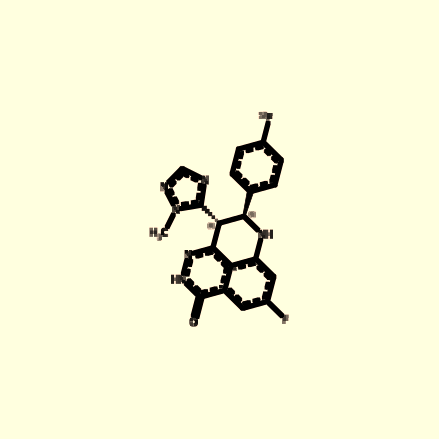 Cn1ncnc1[C@H]1c2n[nH]c(=O)c3cc(F)cc(c23)N[C@@H]1c1ccc([18F])cc1